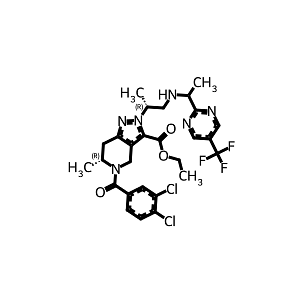 CCOC(=O)c1c2c(nn1[C@H](C)CNC(C)c1ncc(C(F)(F)F)cn1)C[C@@H](C)N(C(=O)c1ccc(Cl)c(Cl)c1)C2